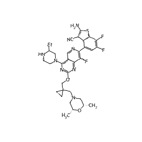 CCC1CN(c2nc(OCC3(CN4C[C@@H](C)O[C@@H](C)C4)CC3)nc3c(F)c(C4=CC(F)=C(F)C5SC(N)=C(C#N)C45)ncc23)CCN1